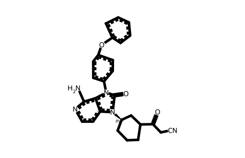 N#CCC(=O)C1CCC[C@@H](n2c(=O)n(-c3ccc(Oc4ccccc4)cc3)c3c(N)nccc32)C1